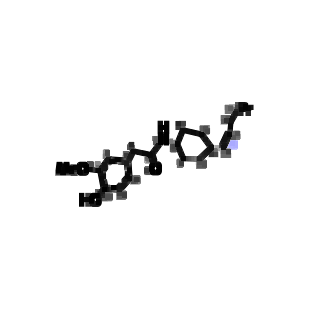 COc1cc(CC(=O)N[C@H]2CC[C@@H](/C=C\CC(C)C)CC2)ccc1O